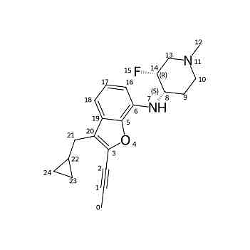 CC#Cc1oc2c(N[C@H]3CCN(C)C[C@H]3F)cccc2c1CC1CC1